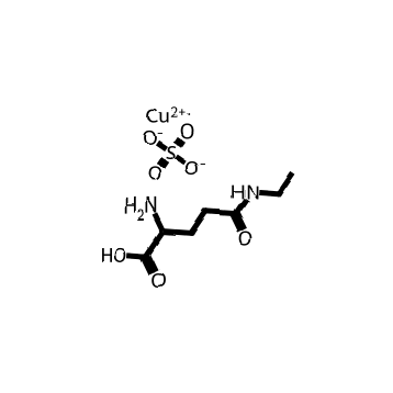 CCNC(=O)CCC(N)C(=O)O.O=S(=O)([O-])[O-].[Cu+2]